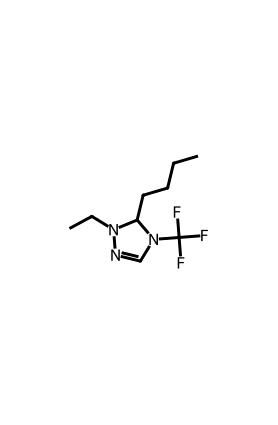 CCCCC1N(CC)N=CN1C(F)(F)F